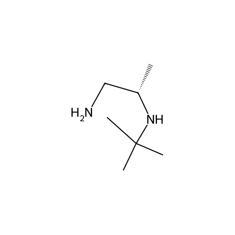 C[C@@H](CN)NC(C)(C)C